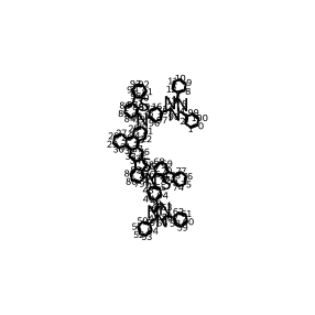 c1ccc(-c2nc(-c3ccccc3)nc(-c3ccc(N(c4ccc5c(c4)c4ccccc4c4cc6c(cc54)sc4c(N(c5ccc(-c7nc(-c8ccccc8)nc(-c8ccccc8)n7)cc5)c5cccc7c5sc5ccccc57)cccc46)c4cccc5c4sc4ccccc45)cc3)n2)cc1